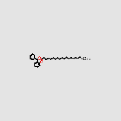 CCCCCCCCCCCCCCCCCCCCCCCCCCCC(=O)OC(c1ccccc1)c1ccccc1